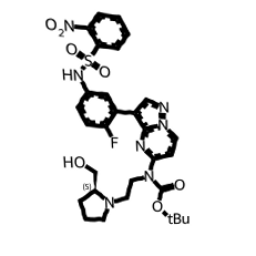 CC(C)(C)OC(=O)N(CCN1CCC[C@H]1CO)c1ccn2ncc(-c3cc(NS(=O)(=O)c4ccccc4[N+](=O)[O-])ccc3F)c2n1